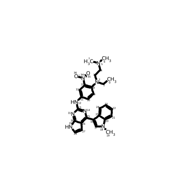 CCN(CCN(C)C)c1ccc(Nc2nc(-c3cn(C)c4ccccc34)c3cc[nH]c3n2)cc1[N+](=O)[O-]